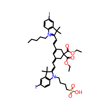 CCCCC[N+]1=C(/C=C/C2=CC(=C/C=C3/N(CCCCS(=O)(=O)O)c4ccc(I)cc4C3(C)C)/CC(C(=O)OCC)(C(=O)OCC)C2)C(C)(C)c2cc(I)ccc21